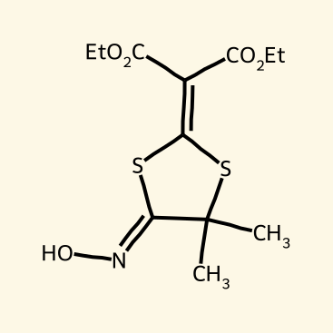 CCOC(=O)C(C(=O)OCC)=C1SC(=NO)C(C)(C)S1